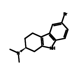 CN(C)[C@@H]1CCc2c([nH]c3ccc(Br)cc23)C1